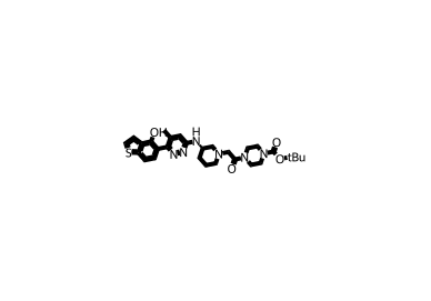 Cc1cc(N[C@@H]2CCCN(CC(=O)N3CCN(C(=O)OC(C)(C)C)CC3)C2)nnc1-c1ccc2sccc2c1O